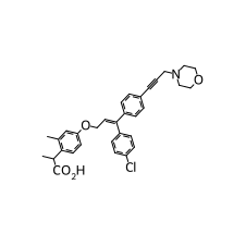 Cc1cc(OC/C=C(\c2ccc(Cl)cc2)c2ccc(C#CCN3CCOCC3)cc2)ccc1C(C)C(=O)O